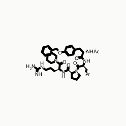 CC(=O)N[C@@H](Cc1ccc(OCc2ccccc2)cc1)C(=O)N[C@@H](CC(C)C)C(=O)N1CCC[C@H]1C(=O)N[C@@H](CCCNC(=N)N)C(=O)N1CCCCC1